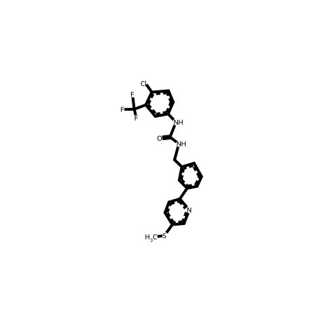 CSc1ccc(-c2cccc(CNC(=O)Nc3ccc(Cl)c(C(F)(F)F)c3)c2)nc1